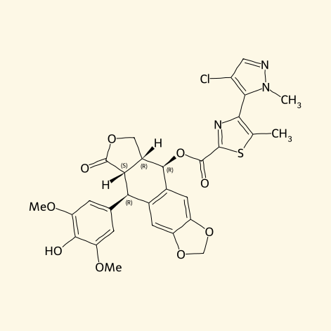 COc1cc([C@@H]2c3cc4c(cc3[C@H](OC(=O)c3nc(-c5c(Cl)cnn5C)c(C)s3)[C@H]3COC(=O)[C@@H]23)OCO4)cc(OC)c1O